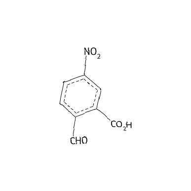 O=Cc1ccc([N+](=O)[O-])cc1C(=O)O